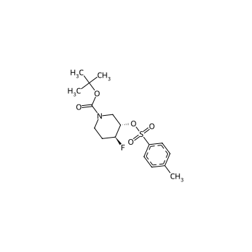 Cc1ccc(S(=O)(=O)O[C@H]2CN(C(=O)OC(C)(C)C)CC[C@@H]2F)cc1